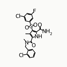 Cc1c(C(=O)N(C)Cc2ccccc2Cl)[nH]c(C(N)=O)c1S(=O)(=O)c1cc(F)cc(Cl)c1